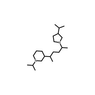 CC(C)C1CCN(C(C)CCC(C)C2CCCN(C(C)C)C2)C1